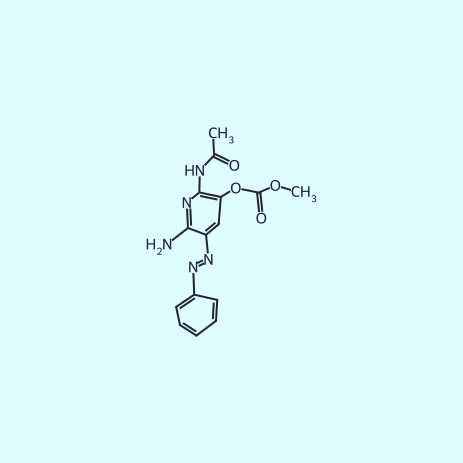 COC(=O)Oc1cc(/N=N/c2ccccc2)c(N)nc1NC(C)=O